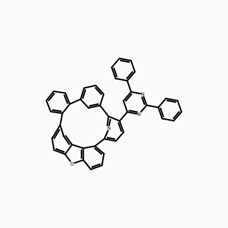 c1ccc(-c2cc(-c3ccc4nc3c3cccc(c3)c3ccccc3c3ccc5oc6cccc4c6c5c3)nc(-c3ccccc3)n2)cc1